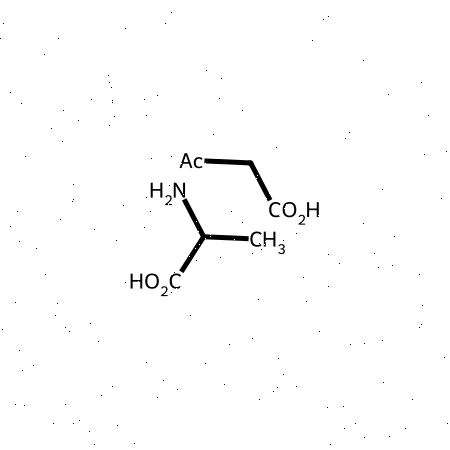 CC(=O)CC(=O)O.CC(N)C(=O)O